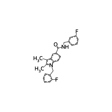 Cc1c(C)n(Cc2ccccc2F)c2ccc(C(=O)NCc3cccc(F)c3)cc12